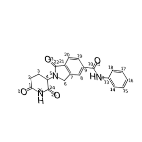 O=C1CCC(N2Cc3cc(C(=O)Nc4ccccc4)ccc3C2=O)C(=O)N1